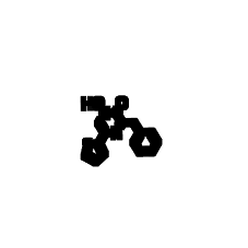 O=c1c(Cc2ccccc2)nc(-c2cccs2)cn1O